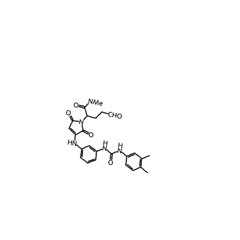 CNC(=O)C(CCC=O)N1C(=O)C=C(Nc2cccc(NC(=O)Nc3ccc(C)c(C)c3)c2)C1=O